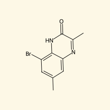 Cc1cc(Br)c2[nH]c(=O)c(C)nc2c1